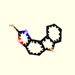 Sc1nc2c(ccc3sc4ccccc4c32)o1